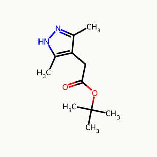 Cc1n[nH]c(C)c1CC(=O)OC(C)(C)C